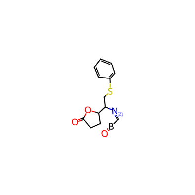 O=B/C=N\C(CSc1ccccc1)C1CCC(=O)O1